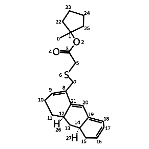 CC1(OC(=O)CSCC2=CCC[C@@H]3C[C@@H]4CC=CC=C4C=C23)CCCC1